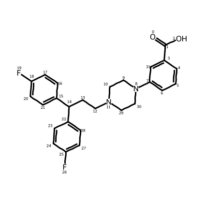 O=C(O)c1cccc(N2CCN(CCC(c3ccc(F)cc3)c3ccc(F)cc3)CC2)c1